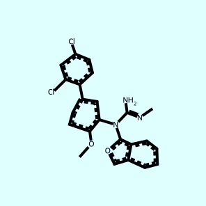 CN=C(N)N(c1cc(-c2ccc(Cl)cc2Cl)ccc1OC)c1occ2ccccc12